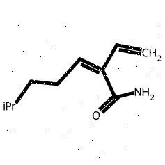 C=CC(=CCCC(C)C)C(N)=O